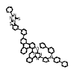 O=c1nc(-c2cccc(N(c3ccc(-c4ccccc4)cc3)c3cccc(-c4ccccc4)c3)c2)nc2c3ccccc3cc(-c3cccc4c5cc(-c6cccc(-c7ccc8sc9nc(-c%10ccccc%10)nc(=S)n9c8c7)c6)ccc5c5ccccc5c34)n12